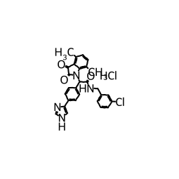 Cc1ccc(C)c2c1C(=O)C(=O)N2C(C(=O)NCc1cccc(Cl)c1)c1ccc(-c2c[nH]cn2)cc1.Cl